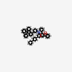 c1ccc(-c2ccc(-c3cccc(N(c4cccc(-c5cccc6c5-c5ccccc5C6(c5ccccc5)c5ccccc5)c4)c4ccccc4-c4cccc5c4oc4ccccc45)c3)cc2)cc1